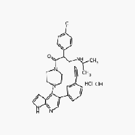 CC(C)NCC(C(=O)N1CCN(c2c(-c3cccc(C#N)c3)cnc3[nH]ccc23)CC1)c1ccc(Cl)cc1.Cl.Cl